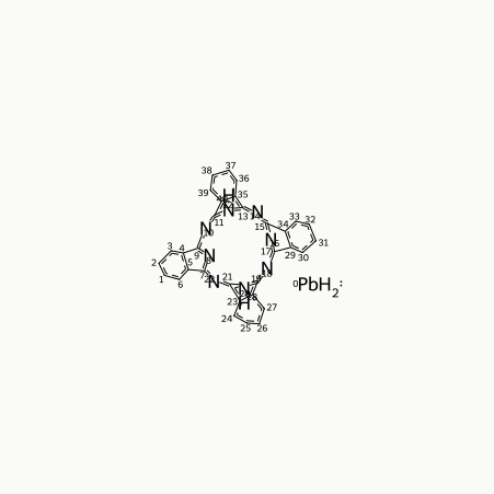 [PbH2].c1ccc2c(c1)-c1nc-2nc2[nH]c(nc3nc(nc4[nH]c(n1)c1ccccc41)-c1ccccc1-3)c1ccccc21